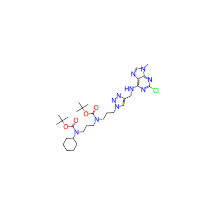 Cn1cnc2c(NCc3cn(CCCN(CCCN(C(=O)OC(C)(C)C)C4CCCCC4)C(=O)OC(C)(C)C)nn3)nc(Cl)nc21